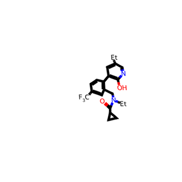 [CH2]Cc1cnc(O)c(-c2ccc(C(F)(F)F)cc2CN(CC)C(=O)C2CC2)c1